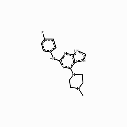 CN1CCN(c2nc(Nc3ccc(F)cc3)nc3[nH]cnc23)CC1